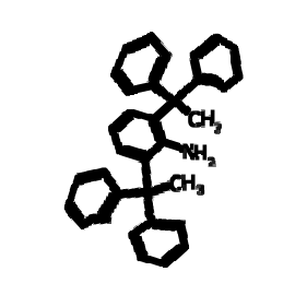 CC(c1ccccc1)(c1ccccc1)c1cccc(C(C)(c2ccccc2)c2ccccc2)c1N